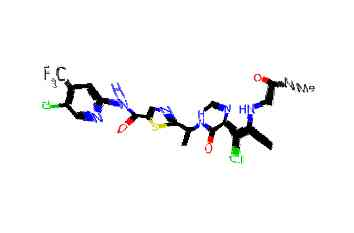 C=C(NCC(=O)NC)/C(Cl)=C(\N=C/C)C(=O)NC(C)c1ncc(C(=O)Nc2cc(C(F)(F)F)c(Cl)cn2)s1